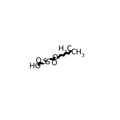 CC(C)CCCCCOC(=O)CSSCC(=O)O